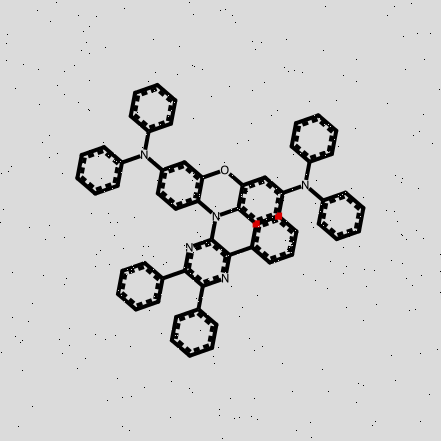 c1ccc(-c2nc(-c3ccccc3)c(N3c4ccc(N(c5ccccc5)c5ccccc5)cc4Oc4cc(N(c5ccccc5)c5ccccc5)ccc43)nc2-c2ccccc2)cc1